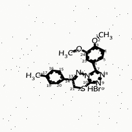 Br.COc1ccc(-c2nnc3n2N=C(c2ccc(C)cc2)CS3)cc1OC